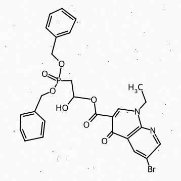 CCn1cc(C(=O)OC(O)CP(=O)(OCc2ccccc2)OCc2ccccc2)c(=O)c2cc(Br)cnc21